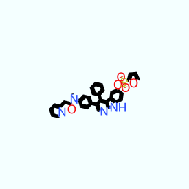 CN(C(=O)Cc1ccccn1)c1ccc(-c2cnc3[nH]c4ccc(OS(=O)(=O)c5ccco5)cc4c3c2-c2ccccc2)cc1